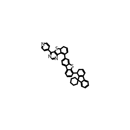 C1=CC(c2ccc3c(c2)sc2c(C4CC=CC5=C4C4(CCCCC4)c4ccccc45)cccc23)=C2c3ncnc(-c4ccncc4)c3SC2C1